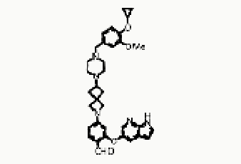 COc1cc(CN2CCN(C3CC4(C3)CN(c3ccc(C=O)c(Oc5cnc6[nH]ccc6c5)c3)C4)CC2)ccc1OC1CC1